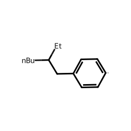 CCCCC(CC)Cc1cc[c]cc1